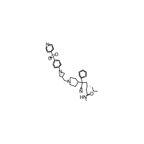 CCC[C@H](CC(=O)NC)CC(C#N)(c1ccccc1)C1CCN(CC2CN(c3ccc(S(=O)(=O)c4ccncc4)cc3)C2)CC1